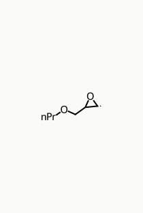 CCCOCC1[CH]O1